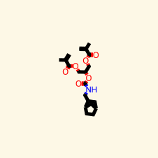 C=C(C)C(=O)OCC(COC(=O)C(=C)C)OC(=O)NCC1CC2CCC1C2